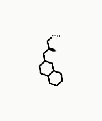 CCOC(=O)CC(=O)CC1CCC2CCCCC2C1